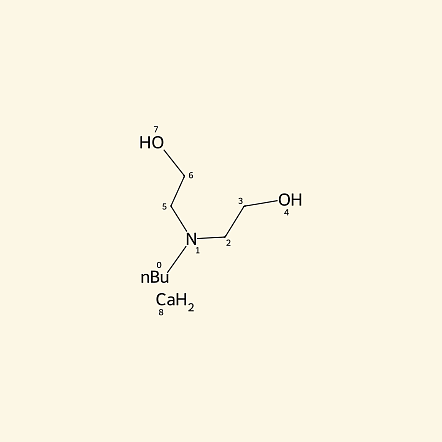 CCCCN(CCO)CCO.[CaH2]